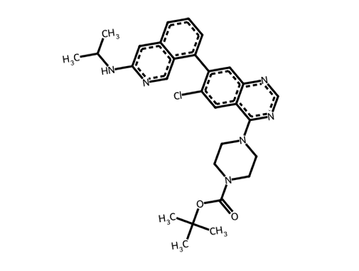 CC(C)Nc1cc2cccc(-c3cc4ncnc(N5CCN(C(=O)OC(C)(C)C)CC5)c4cc3Cl)c2cn1